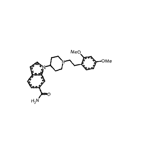 COc1ccc(CCN2CCC(n3ccc4ccc(C(N)=O)cc43)CC2)c(OC)c1